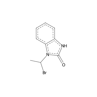 CC(Br)n1c(=O)[nH]c2ccccc21